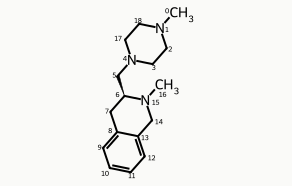 CN1CCN(C[C@@H]2Cc3ccccc3CN2C)CC1